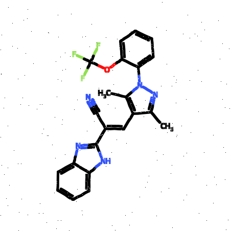 Cc1nn(-c2ccccc2OC(F)(F)F)c(C)c1/C=C(\C#N)c1nc2ccccc2[nH]1